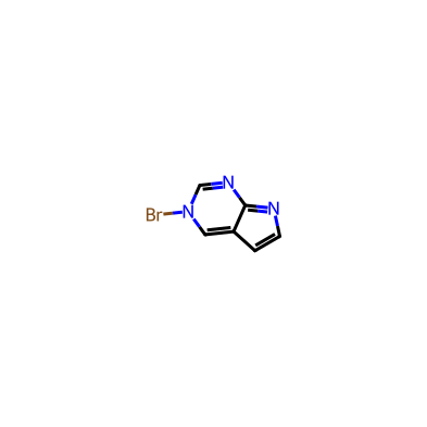 Brn1cnc2nccc-2c1